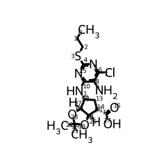 CCCSc1nc(Cl)c(N)c(N[C@@H]2C[C@H](C(=O)O)[C@H]3OC(C)(C)O[C@H]32)n1